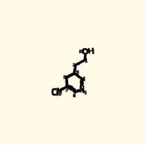 OCCC1C=NC=C(Cl)C1